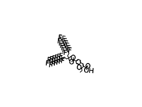 CCC(=O)/C(=C\c1ccc(C2OCC(CCC(F)(F)C(F)(F)C(F)(F)C(F)(F)C(F)(F)C(F)(F)F)(CCC(F)(F)C(F)(F)C(F)(F)C(F)(F)C(F)(F)C(F)(F)F)CO2)cc1)C(=O)O